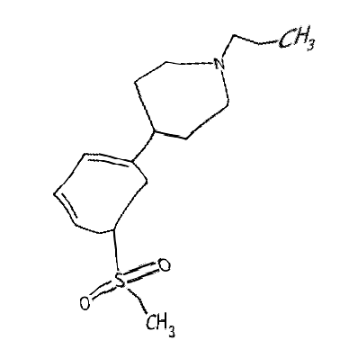 CCN1CCC(C2=CC=CC(S(C)(=O)=O)C2)CC1